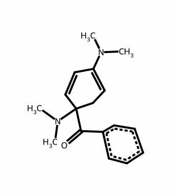 CN(C)C1=CCC(C(=O)c2ccccc2)(N(C)C)C=C1